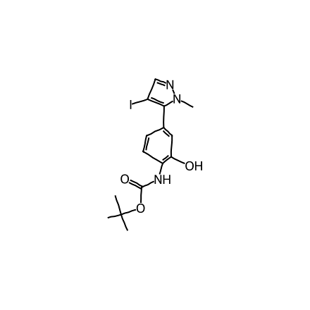 Cn1ncc(I)c1-c1ccc(NC(=O)OC(C)(C)C)c(O)c1